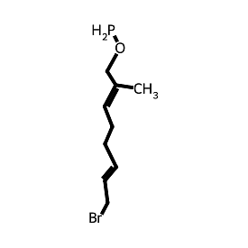 C/C(=C\CC/C=C/CBr)COP